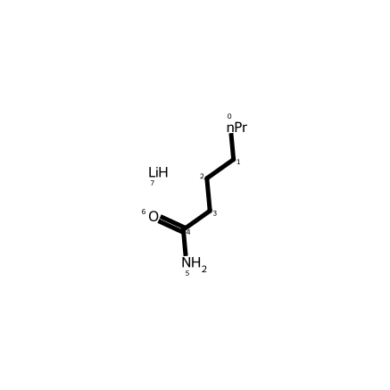 CCCCCCC(N)=O.[LiH]